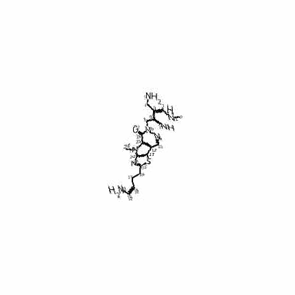 CN/C=C(/CN)C(=N)Cn1ncc2c3sc(CC/C=C\N)nc3n(C)c2c1=O